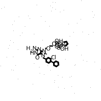 Nc1nc2c(c(=O)[nH]1)[n+](Cc1ccc(-c3ccccc3)c(Cl)c1)cn2COCCOP(=O)(O)OP(=O)(O)n1cccc1